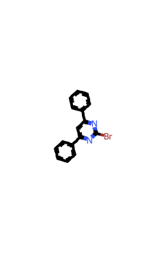 Brc1nc(-c2ccccc2)cc(-c2ccccc2)n1